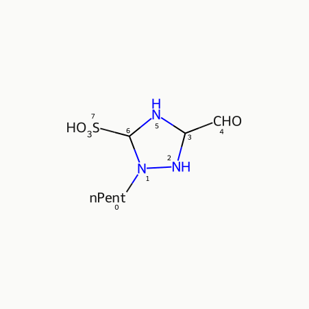 CCCCCN1NC(C=O)NC1S(=O)(=O)O